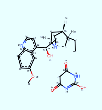 CC[C@H]1C[N@]2CC[C@H]1C[C@@H]2[C@@H](O)c1ccnc2ccc(OC)cc12.O=C1CC(=O)NC(O)=N1